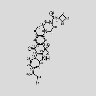 CCc1cc2c(cc1N1CCN(C(=O)C3CCC3)CC1)C(C)(C)C1=C(C2=O)C2C=CC(C(C)CC)=CC2N1